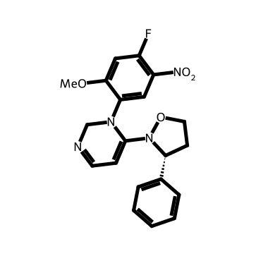 COc1cc(F)c([N+](=O)[O-])cc1N1CN=CC=C1N1OCC[C@@H]1c1ccccc1